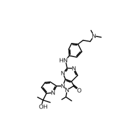 CC(C)n1c(=O)c2cnc(Nc3ccc(CCN(C)C)cc3)nc2n1-c1cccc(C(C)(C)O)n1